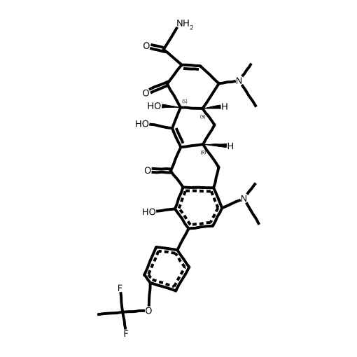 CN(C)c1cc(-c2ccc(OC(C)(F)F)cc2)c(O)c2c1C[C@H]1C[C@H]3C(N(C)C)C=C(C(N)=O)C(=O)[C@@]3(O)C(O)=C1C2=O